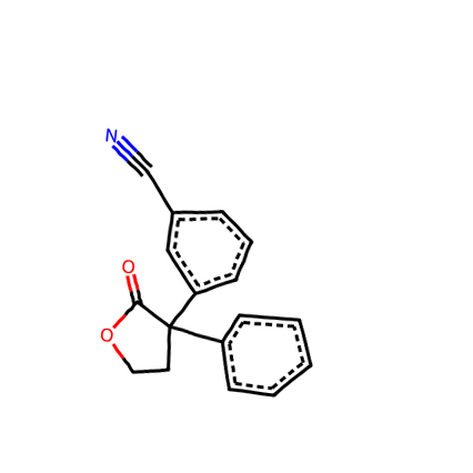 N#Cc1cccc(C2(c3ccccc3)CCOC2=O)c1